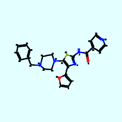 O=C(Nc1nc(-c2ccco2)c(N2CCN(Cc3ccccc3)CC2)s1)c1ccncc1